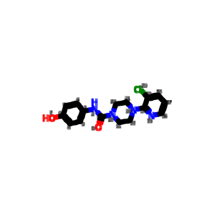 O=C(Nc1ccc(O)cc1)N1CCN(c2ncccc2Cl)CC1